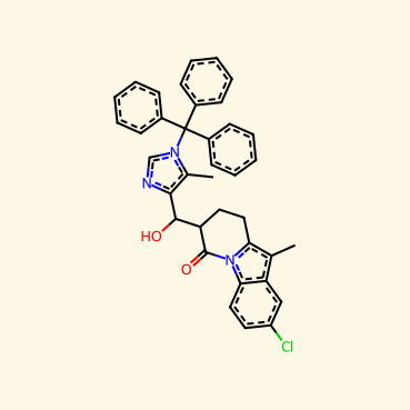 Cc1c2n(c3ccc(Cl)cc13)C(=O)C(C(O)c1ncn(C(c3ccccc3)(c3ccccc3)c3ccccc3)c1C)CC2